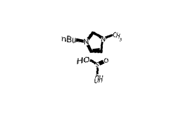 CCCCN1C=CN(C)C1.O=S(O)O